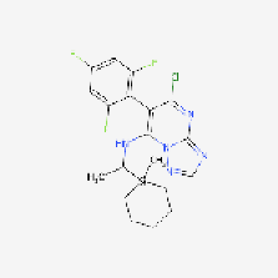 CC(Nc1c(-c2c(F)cc(F)cc2F)c(Cl)nc2ncnn12)[Si]1(C)CCCCC1